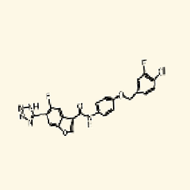 O=C(Nc1ccc(OCc2ccc(Cl)c(F)c2)cc1)c1coc2cc(-c3nnn[nH]3)c(F)cc12